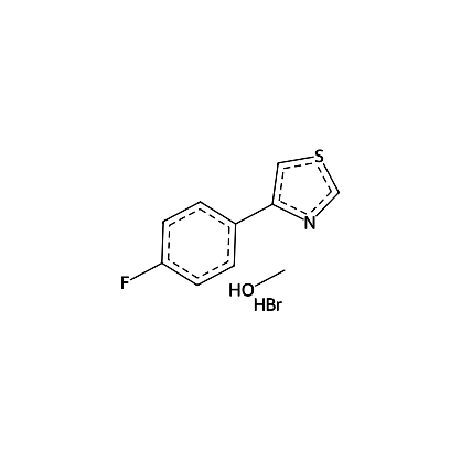 Br.CO.Fc1ccc(-c2cscn2)cc1